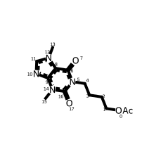 CC(=O)OCCCCn1c(=O)c2c(ncn2C)n(C)c1=O